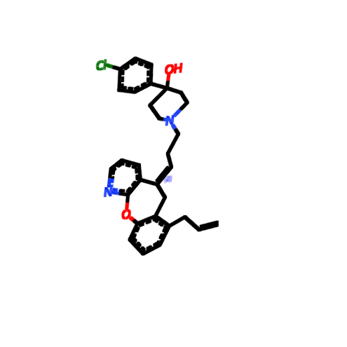 C=CCc1cccc2c1C/C(=C/CCN1CCC(O)(c3ccc(Cl)cc3)CC1)c1cccnc1O2